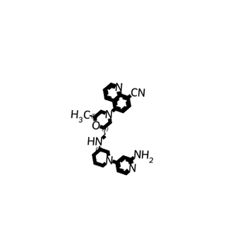 C[C@@H]1CN(c2ccc(C#N)c3ncccc23)C[C@H](CN[C@H]2CCCN(c3ccnc(N)c3)C2)O1